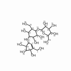 OCC1=CC(NC2C(O)C(O)C(OC3OC(CO)C(O)C(O)C3O)C(CO)C2O)C(O)C(O)C1O